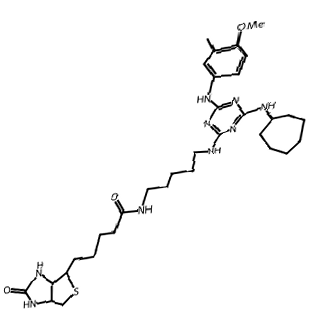 COc1ccc(Nc2nc(NCCCCCNC(=O)CCCCC3SCC4NC(=O)NC43)nc(NC3CCCCCC3)n2)cc1C